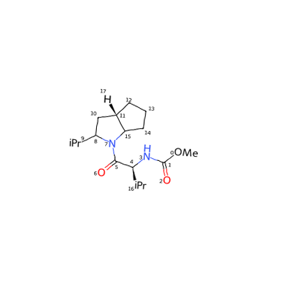 COC(=O)N[C@H](C(=O)N1C(C(C)C)C[C@@H]2CCCC21)C(C)C